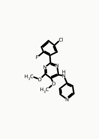 COc1nc(-c2cc(Cl)ccc2F)nc(Nc2ccncc2)c1OC